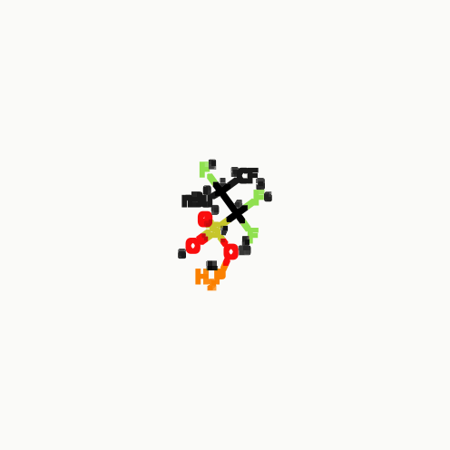 CCCCC(F)(C(F)(F)F)C(F)(F)S(=O)(=O)OP